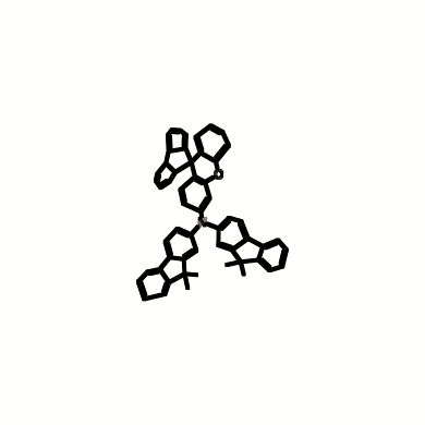 CC1(C)c2ccccc2-c2ccc(N(c3ccc4c(c3)Oc3ccccc3C43c4ccccc4C4C=CC=CC43)c3ccc4c(c3)C(C)(C)c3ccccc3-4)cc21